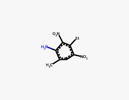 CCc1c([N+](=O)[O-])cc(C)c(N)c1[N+](=O)[O-]